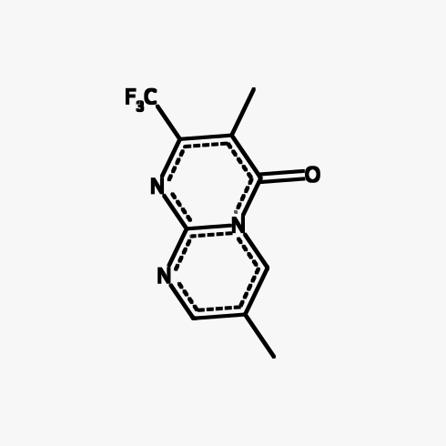 Cc1cnc2nc(C(F)(F)F)c(C)c(=O)n2c1